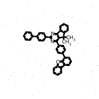 CC1(C)c2ccccc2-c2nc(-c3ccc(-c4ccccc4)cc3)nc(-c3ccc(-c4cccc5c4oc4ccccc45)cc3)c21